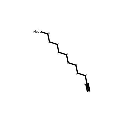 [C]#CCCCCCCCCCCCCCCCC